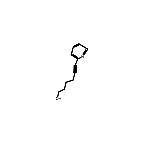 OCCCCC#Cc1ccccn1